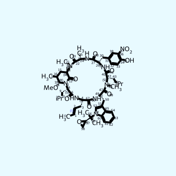 C/C=C/C[C@@H]1NC(=O)[C@H](CC(C)C)N2C(=O)[C@H](CC(C)[C@H]2OC)N(C)C(=O)[C@H](C)NC(=O)[C@H](Cc2ccc(O)c([N+](=O)[O-])c2)NC(=O)[C@H](CC(C)C)N(C)C(=O)[C@H](Cc2cn(C(C)(C)[C@H]3CO3)c3ccccc23)NC1=O